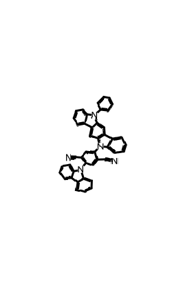 N#Cc1cc(-n2c3ccccc3c3cc4c(cc32)c2ccccc2n4-c2ccccc2)c(C#N)cc1-n1c2ccccc2c2ccccc21